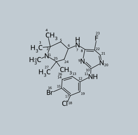 CN1C(C)(C)CC(Nc2nc(Nc3ccc(Br)c(Cl)c3)ncc2F)CC1(C)C